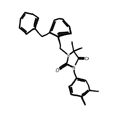 Cc1ccc(N2C(=O)N(Cc3ccccc3Cc3ccccc3)C(C)(C)C2=O)cc1C